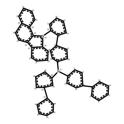 c1ccc(-c2ccc(N(c3ccc(-c4ccccc4-n4c5ccccc5c5ccc6ccccc6c54)cc3)c3cccc(-c4ccccc4)c3)cc2)cc1